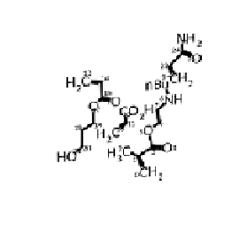 C=C(C)C(=O)OCCNCCCC.C=CC(=O)O.C=CC(=O)OCCCO.C=CC(N)=O